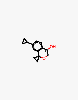 O[C@H]1COC2(CC2)c2cc(C3CC3)ccc21